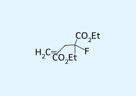 C=CCC(F)(C(=O)OCC)C(=O)OCC